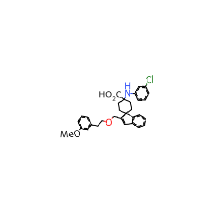 COc1cccc(CCOCC2=Cc3ccccc3C23CCC(Nc2cccc(Cl)c2)(C(=O)O)CC3)c1